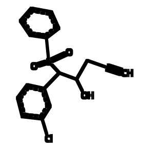 C#CCC(O)C(c1cccc(Cl)c1)S(=O)(=O)c1ccccc1